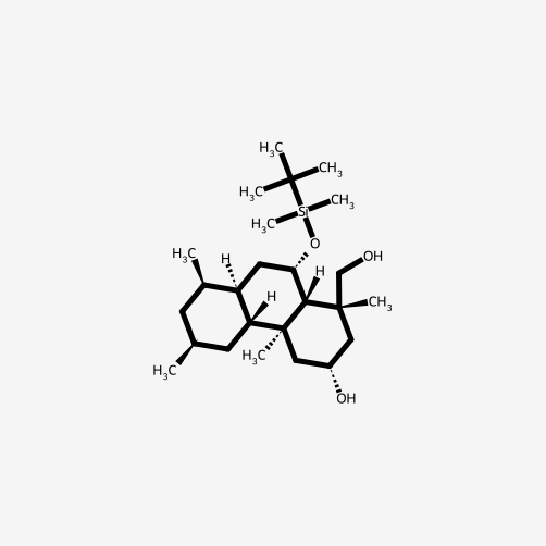 C[C@H]1C[C@@H](C)[C@H]2C[C@H](O[Si](C)(C)C(C)(C)C)[C@@H]3[C@](C)(CO)C[C@H](O)C[C@@]3(C)[C@@H]2C1